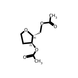 CC(=O)OC[C@H]1OCC[C@@H]1OC(C)=O